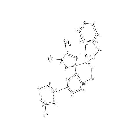 CN1OC2(N=C1N)c1cc(-c3cccc(C#N)c3)ccc1CCC21CCc2ccccc2CC1